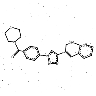 O=C(c1ccc(-n2cc(C3=Cc4cccnc4NC3)nn2)cc1)N1CCOCC1